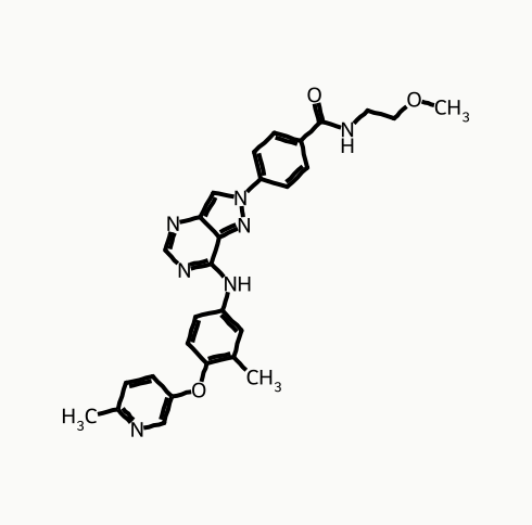 COCCNC(=O)c1ccc(-n2cc3ncnc(Nc4ccc(Oc5ccc(C)nc5)c(C)c4)c3n2)cc1